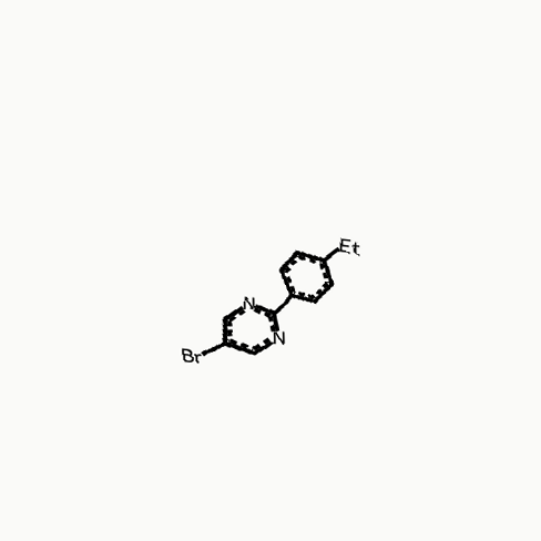 CCc1ccc(-c2ncc(Br)cn2)cc1